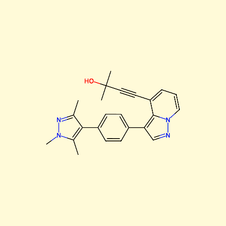 Cc1nn(C)c(C)c1-c1ccc(-c2cnn3cccc(C#CC(C)(C)O)c23)cc1